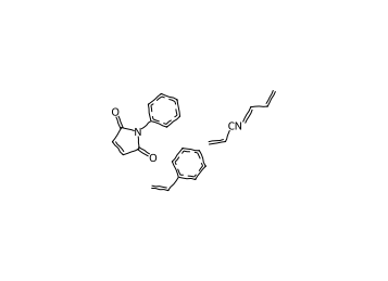 C=CC#N.C=CC=C.C=Cc1ccccc1.O=C1C=CC(=O)N1c1ccccc1